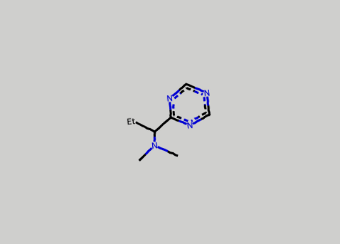 CCC(c1ncncn1)N(C)C